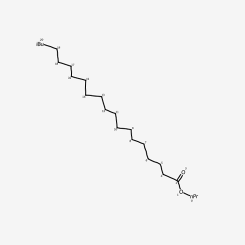 CCCOC(=O)CCCCCCCCCCCCCCCCC(C)CC